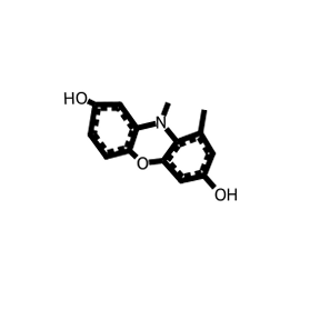 Cc1cc(O)cc2c1N(C)c1cc(O)ccc1O2